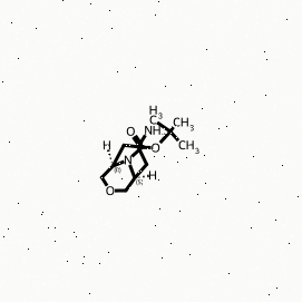 CC(C)(C)OC(=O)N1[C@@H]2COC[C@H]1CC(N)C2